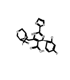 O=C(O)C1=C(CN2C3COCC2C(F)(F)C3)NC(c2nccs2)=N[C@H]1c1ccc(F)cc1Cl